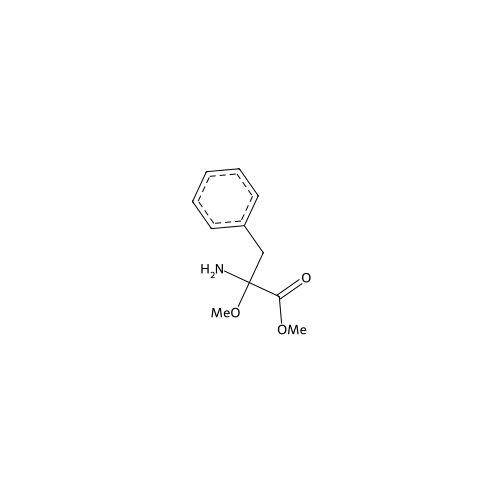 COC(=O)C(N)(Cc1ccccc1)OC